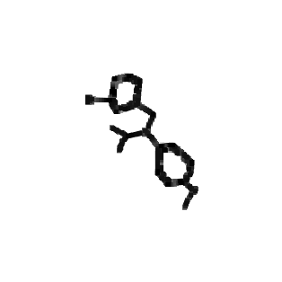 COc1ccc(N(Cc2cccc(Br)c2)C(C)C)cc1